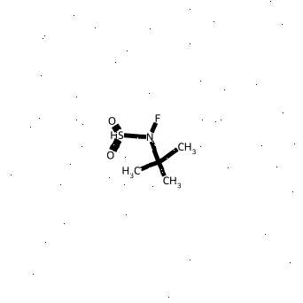 CC(C)(C)N(F)[SH](=O)=O